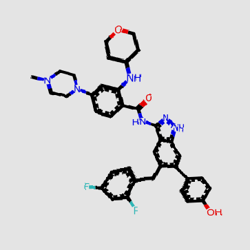 CN1CCN(c2ccc(C(=O)Nc3n[nH]c4cc(-c5ccc(O)cc5)c(Cc5ccc(F)cc5F)cc34)c(NC3CCOCC3)c2)CC1